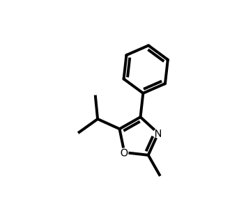 Cc1nc(-c2ccccc2)c(C(C)C)o1